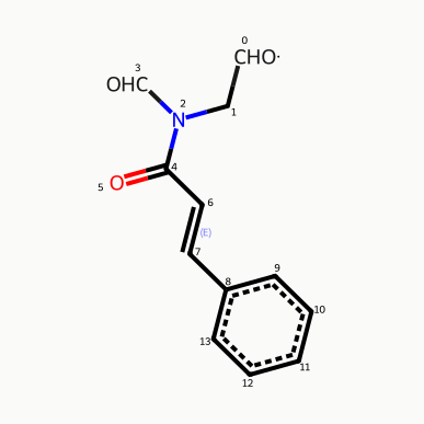 O=[C]CN(C=O)C(=O)/C=C/c1ccccc1